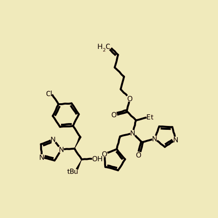 C=CCCCOC(=O)C(CC)N(Cc1ccco1)C(=O)n1ccnc1.CC(C)(C)[C@H](O)[C@H](Cc1ccc(Cl)cc1)n1cncn1